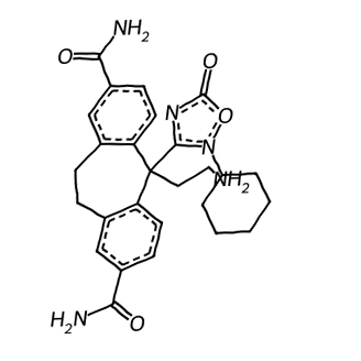 NCCC1(c2nc(=O)on2C2CCCCC2)c2ccc(C(N)=O)cc2CCc2cc(C(N)=O)ccc21